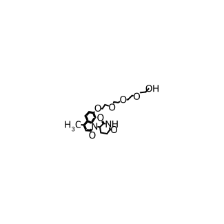 Cc1cc(=O)n(C2CCC(=O)NC2=O)c2cc(OCCOCCOCCOCCO)ccc12